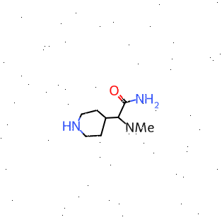 CNC(C(N)=O)C1CCNCC1